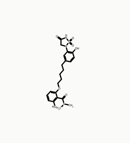 CN(C)C(=O)c1c(O)cccc1OCCCCCc1ccc(O)c(N2CC(=O)NS2(=O)=O)c1